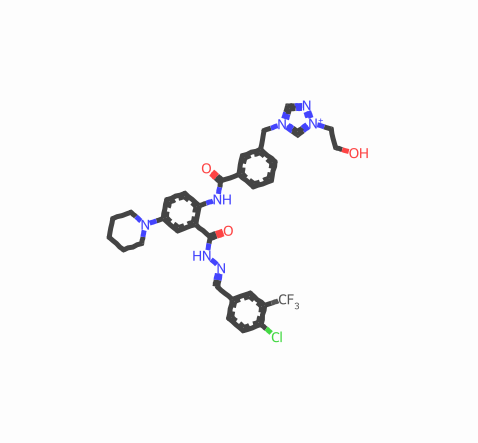 O=C(Nc1ccc(N2CCCCC2)cc1C(=O)N/N=C/c1ccc(Cl)c(C(F)(F)F)c1)c1cccc(Cn2cn[n+](CCO)c2)c1